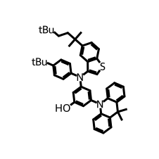 CC(C)(C)CCC(C)(C)c1ccc2scc(N(c3ccc(C(C)(C)C)cc3)c3cc(O)cc(N4c5ccccc5C(C)(C)c5ccccc54)c3)c2c1